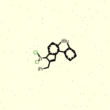 Cc1ccccc1-c1c(C(C)(C)C)ccc2c1C=C(CC(C)C)[CH]2[Zr]([Cl])[Cl]